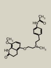 COc1ccc(OCCN(C)CCc2ccc(NC(C)=O)cc2)c2c1NC(=O)CC2